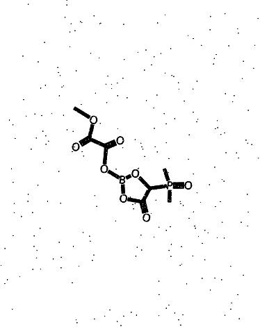 COC(=O)C(=O)OB1OC(=O)C(P(C)(C)=O)O1